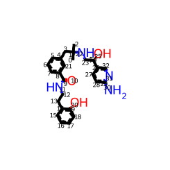 CC(C)(Cc1cccc(C(=O)NCCc2ccccc2O)c1)NC[C@H](O)c1ccc(N)nc1